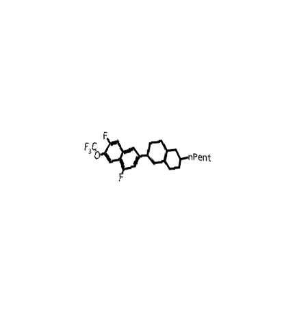 CCCCCC1CCC2CC(c3cc(F)c4cc(OC(F)(F)F)c(F)cc4c3)CCC2C1